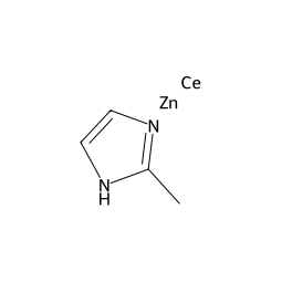 Cc1ncc[nH]1.[Ce].[Zn]